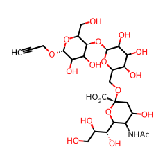 C#CCO[C@@H]1OC(CO)[C@@H](O[C@@H]2OC(CO[C@]3(C(=O)O)CC(O)C(NC(C)=O)C([C@H](O)[C@H](O)CO)O3)[C@H](O)C(O)C2O)C(O)C1O